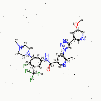 COc1cncc(-c2cn(-c3cc(C(=O)Nc4cc(N5CCN(C)CC5)c(F)c(C(F)(F)F)c4)cnc3C)nn2)c1